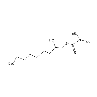 CCCCCCCCCCCCCCCCC(O)CSC(=S)N(CCCC)CCCC